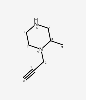 C#CCN1CCNCC1C